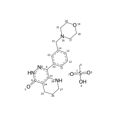 CS(=O)(=O)O.O=c1[nH]nc(-c2cccc(CN3CCOCC3)c2)c2c1CCCN2